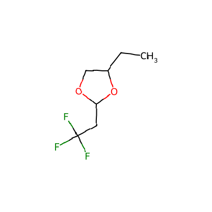 CCC1COC(CC(F)(F)F)O1